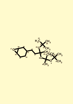 CC(C)(C)OC(C)(C)OC(C)(CCC1CCC2OC2C1)OC(C)(C)C